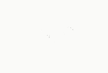 N#CSC[N+]1([O-])CCCC1